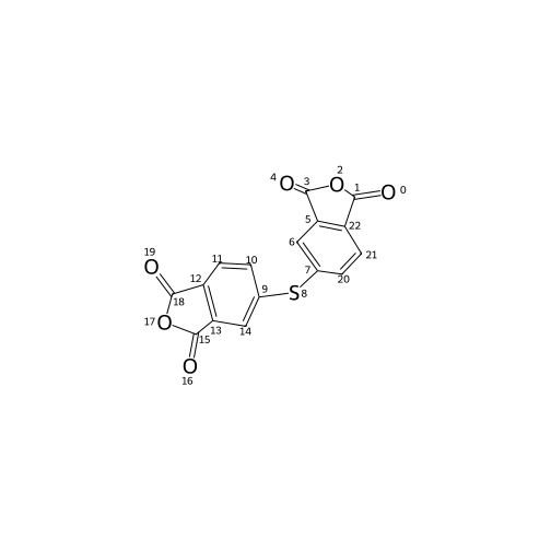 O=C1OC(=O)c2cc(Sc3ccc4c(c3)C(=O)OC4=O)ccc21